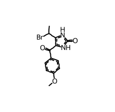 COc1ccc(C(=O)c2[nH]c(=O)[nH]c2C(C)Br)cc1